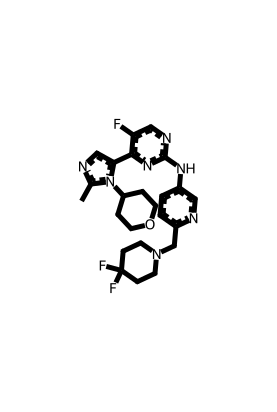 Cc1ncc(-c2nc(Nc3ccc(CN4CCC(F)(F)CC4)nc3)ncc2F)n1C1CCOCC1